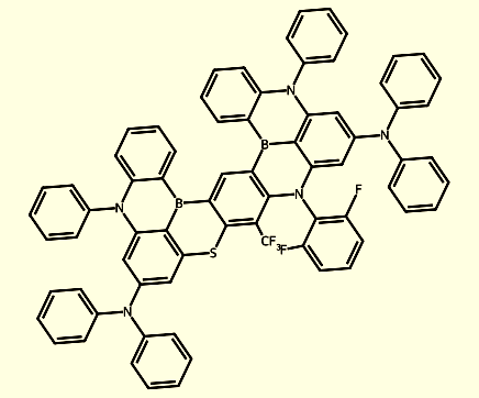 Fc1cccc(F)c1N1c2cc(N(c3ccccc3)c3ccccc3)cc3c2B(c2ccccc2N3c2ccccc2)c2cc3c(c(C(F)(F)F)c21)Sc1cc(N(c2ccccc2)c2ccccc2)cc2c1B3c1ccccc1N2c1ccccc1